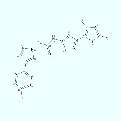 Cc1nc(C)c(-c2csc(NC(=O)Cn3cc(-c4ccc(Cl)cc4)cn3)n2)s1